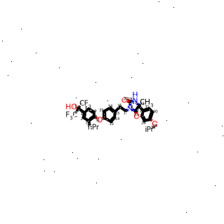 CCCc1cc(C(O)(C(F)(F)F)C(F)(F)F)ccc1Oc1ccc(CCN2C(=O)NC(C)(c3ccc(OC(C)C)cc3)C2=O)cc1